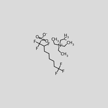 CC[N+](CC)(CC)CC.O=S(=O)([O-])C(F)(F)C(F)CCCCCC(F)(F)F